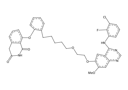 COc1cc2ncnc(Nc3cccc(Cl)c3F)c2cc1OCCOCCCCCc1ccccc1Oc1cccc2c1C(=O)NC(=O)C2